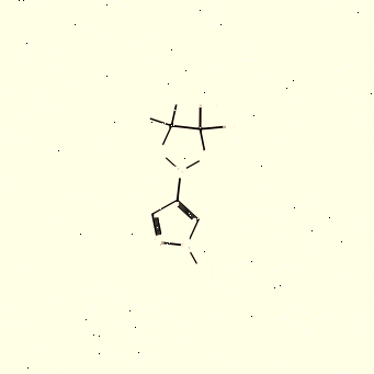 Cn1cc(N2OC(C)(C)C(C)(C)O2)cn1